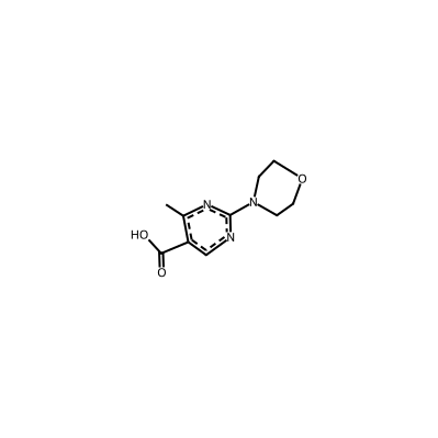 Cc1nc(N2CCOCC2)ncc1C(=O)O